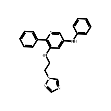 c1ccc(Nc2cnc(-c3ccccc3)c(NCCn3cncn3)c2)cc1